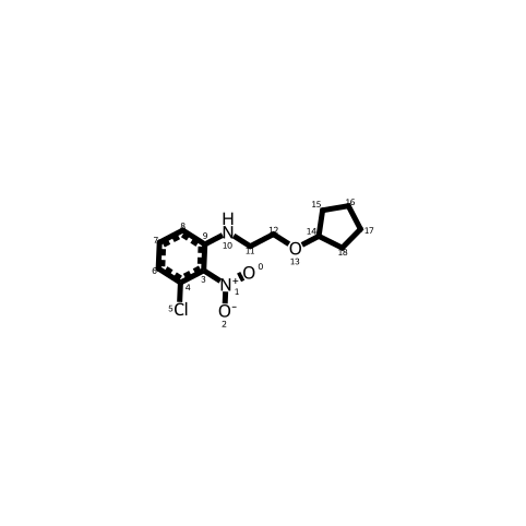 O=[N+]([O-])c1c(Cl)cccc1NCCOC1CCCC1